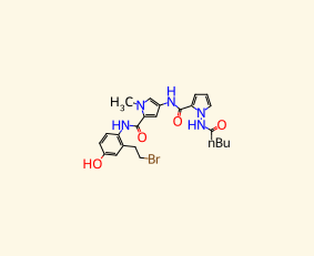 CCCCC(=O)Nn1cccc1C(=O)Nc1cc(C(=O)Nc2ccc(O)cc2CCBr)n(C)c1